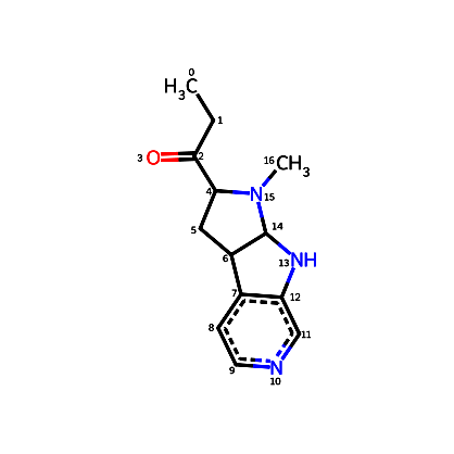 CCC(=O)C1CC2c3ccncc3NC2N1C